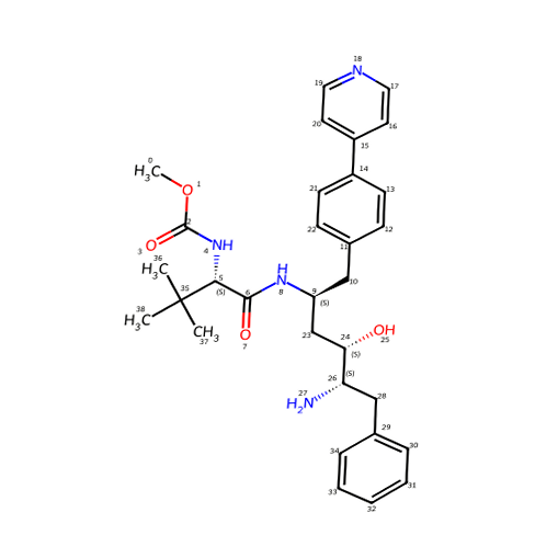 COC(=O)N[C@H](C(=O)N[C@@H](Cc1ccc(-c2ccncc2)cc1)C[C@H](O)[C@@H](N)Cc1ccccc1)C(C)(C)C